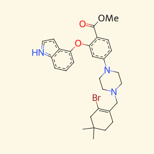 COC(=O)c1ccc(N2CCN(CC3=C(Br)CC(C)(C)CC3)CC2)cc1Oc1cccc2[nH]ccc12